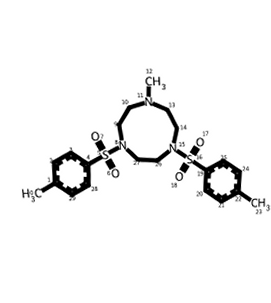 Cc1ccc(S(=O)(=O)N2CCN(C)CCN(S(=O)(=O)c3ccc(C)cc3)CC2)cc1